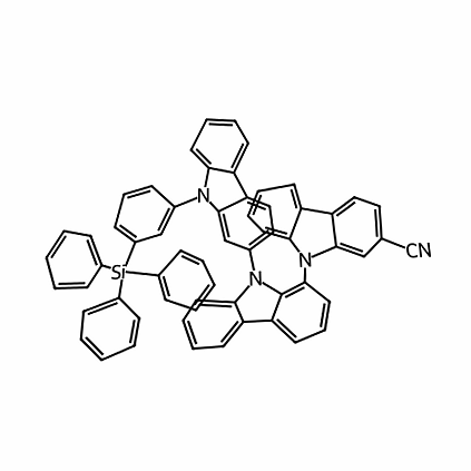 N#Cc1ccc2c3ccccc3n(-c3cccc4c5ccccc5n(-c5ccc6c7ccccc7n(-c7cccc([Si](c8ccccc8)(c8ccccc8)c8ccccc8)c7)c6c5)c34)c2c1